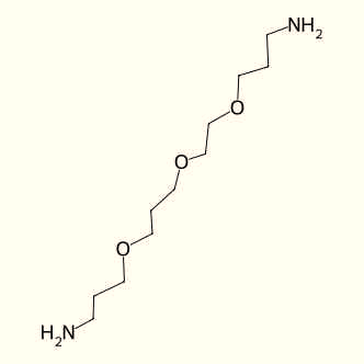 NCCCOCCCOCCOCCCN